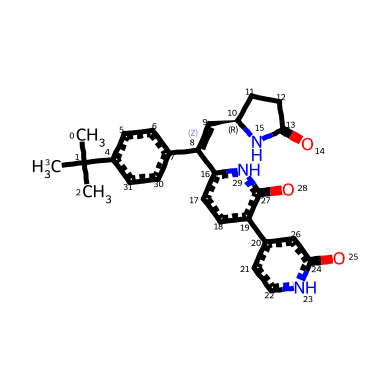 CC(C)(C)c1ccc(/C(=C/[C@H]2CCC(=O)N2)c2ccc(-c3cc[nH]c(=O)c3)c(=O)[nH]2)cc1